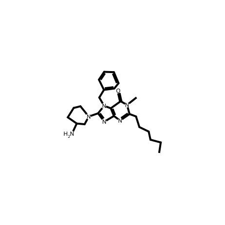 CCCCCCc1nc2nc(N3CCCC(N)C3)n(Cc3ccccc3)c2c(=O)n1C